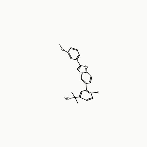 COc1cccc(-c2cn3cc(-c4cc(C(C)(C)O)ccc4F)ccc3n2)c1